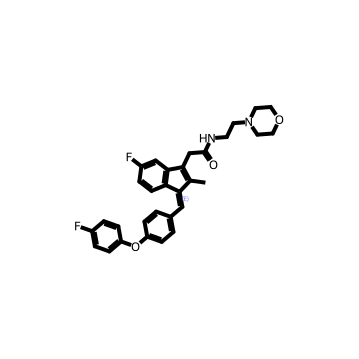 CC1=C(CC(=O)NCCN2CCOCC2)c2cc(F)ccc2/C1=C\c1ccc(Oc2ccc(F)cc2)cc1